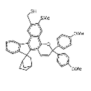 COc1ccc(C2(c3ccc(OC)cc3)C=Cc3c4c(c5cc(CS)c(SC)cc5c3O2)-c2ccccc2C42CC3CCC2C3)cc1